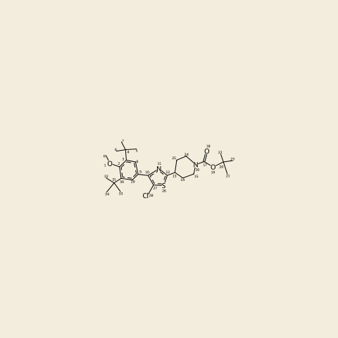 COc1c(C(C)(C)C)cc(-c2nc(C3CCN(C(=O)OC(C)(C)C)CC3)sc2Cl)cc1C(C)(C)C